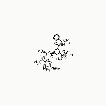 CCCC[C@@H](CN[C@@H](C)C(=O)N[C@H](C(=O)NC)C(C)C)NC(=O)c1cc(C(=O)N[C@H](C)c2ccccc2)cc(N(C)S(C)(=O)=O)c1